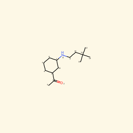 CC(=O)C1CCCC(NCCC(C)(C)C)C1